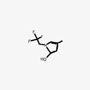 CC1=CN(CC(F)(F)F)C(O)C1